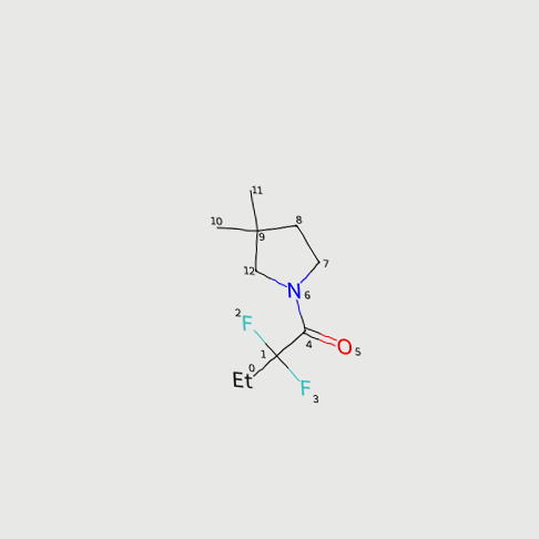 CCC(F)(F)C(=O)N1CCC(C)(C)C1